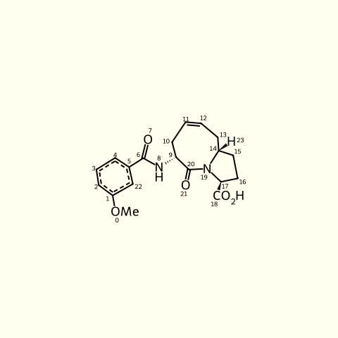 COc1cccc(C(=O)N[C@@H]2C/C=C\C[C@@H]3CC[C@@H](C(=O)O)N3C2=O)c1